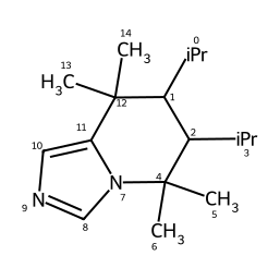 CC(C)C1C(C(C)C)C(C)(C)n2cncc2C1(C)C